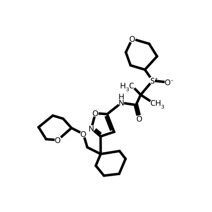 CC(C)(C(=O)Nc1cc(C2(COC3CCCCO3)CCCCC2)no1)[S+]([O-])C1CCOCC1